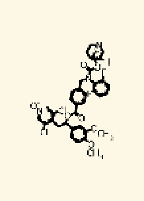 COc1ccc(C(Cc2c(Cl)c[n+]([O-])cc2Cl)OC(=O)c2ccc(CN(C(=O)O[C@H]3CN4CCC3CC4)c3c(F)cccc3F)cc2)cc1OC